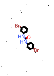 O=C(Nc1ccc(Br)cc1)Nc1cccc(Br)c1